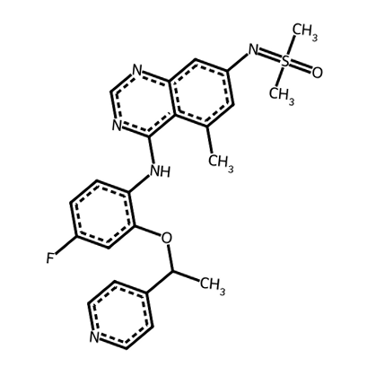 Cc1cc(N=S(C)(C)=O)cc2ncnc(Nc3ccc(F)cc3OC(C)c3ccncc3)c12